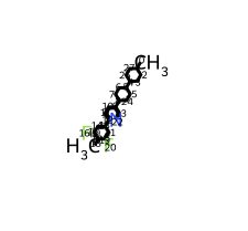 CC1CCC(C2CCC(c3ccc(C4=C[C@H](F)C(C)C(F)=C4)nc3)CC2)CC1